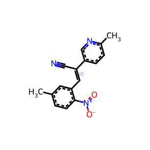 Cc1ccc([N+](=O)[O-])c(/C=C(\C#N)c2ccc(C)nc2)c1